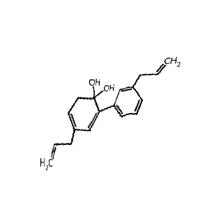 C=CCC1=CCC(O)(O)C(c2cccc(CC=C)c2)=C1